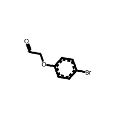 O=[C]COc1ccc(Br)cc1